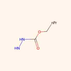 CCCCOC(=O)N[NH]